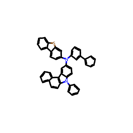 c1ccc(-c2cccc(N(c3ccc4c(c3)sc3ccccc34)c3ccc4c(c3)c3c5ccccc5ccc3n4-c3ccccc3)c2)cc1